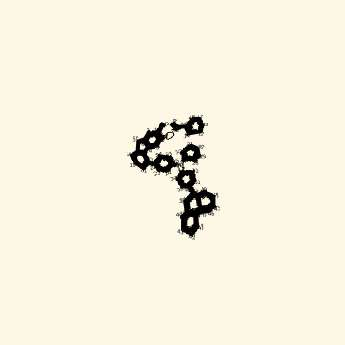 Cc1cc2c(cc1OC(C)c1ccccc1)-c1c(cccc1-c1ccc(N(c3ccccc3)c3ccc(-c4cc5ccccc5c5ccccc45)cc3)cc1)C2